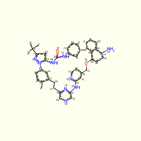 Cc1ccc(-n2nc(C(C)(C)C)cc2NC(=O)Nc2ccccc2)cc1CCc1cncc(Nc2cc(COc3ccc(N)c4ccccc34)ccn2)n1